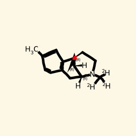 [2H]C([2H])([2H])N1CC[C@]23CCCC[C@H]2[C@H]1Cc1ccc(C)cc13